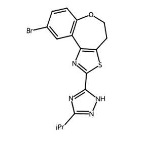 CC(C)c1n[nH]c(-c2nc3c(s2)CCOc2ccc(Br)cc2-3)n1